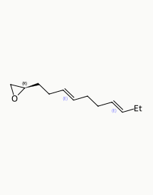 CC/C=C/CC/C=C/CC[C@@H]1CO1